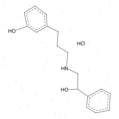 Cl.Oc1cccc(CCCNCC(O)c2ccccc2)c1